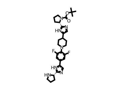 CC(C)(C)OC(=O)N1CCC[C@H]1c1ncc(C2CCN(c3c(F)cc(-c4cnc([C@@H]5CCCN5)[nH]4)cc3F)CC2)[nH]1